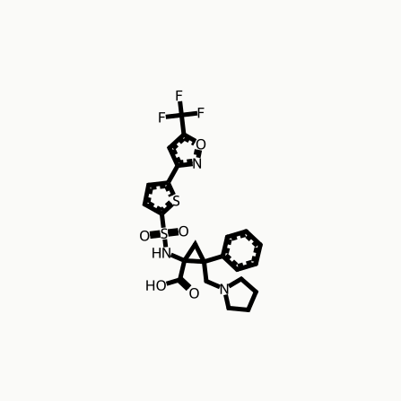 O=C(O)C1(NS(=O)(=O)c2ccc(-c3cc(C(F)(F)F)on3)s2)CC1(CN1CCCC1)c1ccccc1